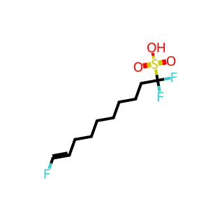 O=S(=O)(O)C(F)(F)CCCCCCCC=CF